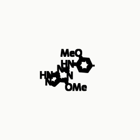 COc1c[c]ccc1Nc1nc(OC)c2cn[nH]c2n1